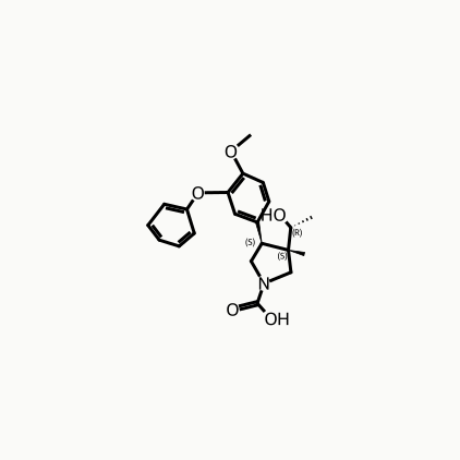 COc1ccc([C@@H]2CN(C(=O)O)C[C@@]2(C)[C@@H](C)O)cc1Oc1ccccc1